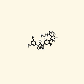 Cc1nn(-c2ccc(NC(=O)[C@H](O)c3cc(F)cc(F)c3)cc2F)c2c(N)ncnc12